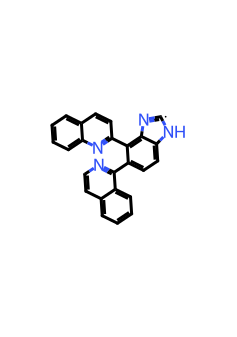 [c]1nc2c(-c3ccc4ccccc4n3)c(-c3nccc4ccccc34)ccc2[nH]1